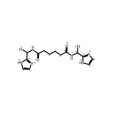 CCC(NC(=O)CCCCC(=O)NC(CC)c1ncc[nH]1)c1ncc[nH]1